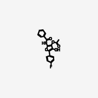 CC(=O)Oc1c(NC(=O)c2ccccc2)oc(-c2ccc(F)cc2)c1O